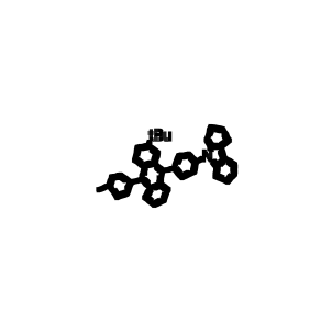 Cc1ccc(-c2c3ccccc3c(-c3ccc(-n4c5ccccc5c5ccccc54)cc3)c3cc(C(C)(C)C)ccc23)cc1